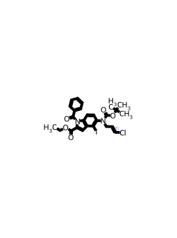 CCOC(=O)c1cc2c(I)c(N(C/C=C/Cl)C(=O)OC(C)(C)C)ccc2n1C(=O)c1ccccc1